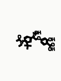 CCN(C(C)=O)c1ccc(C(COc2ccc(C(=O)O)c(O)c2)=NO)cc1C(C)(C)C